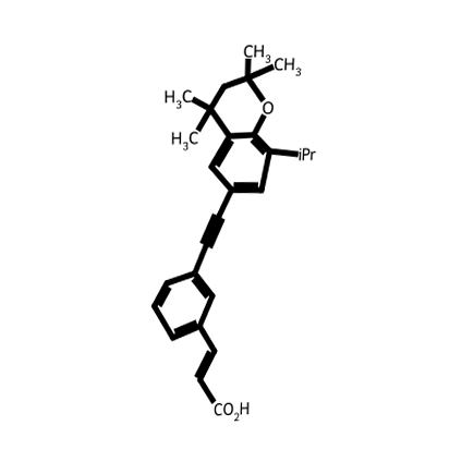 CC(C)c1cc(C#Cc2cccc(/C=C/C(=O)O)c2)cc2c1OC(C)(C)CC2(C)C